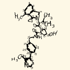 Cc1cccc2c1C(=O)N([C@H](C(=O)N1C[C@H](O)C[C@H]1C(=O)NCc1ccc(-c3scnc3C)cc1)C(C)C)C2